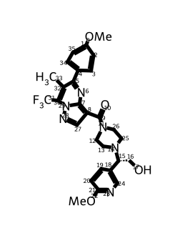 COc1ccc(-c2nc3c(C(=O)N4CCN([C@H](CO)c5ccc(OC)nc5)CC4)cnn3c(C(F)(F)F)c2C)cc1